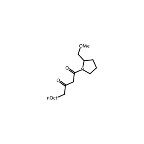 CCCCCCCCCC(=O)CC(=O)N1CCCC1COC